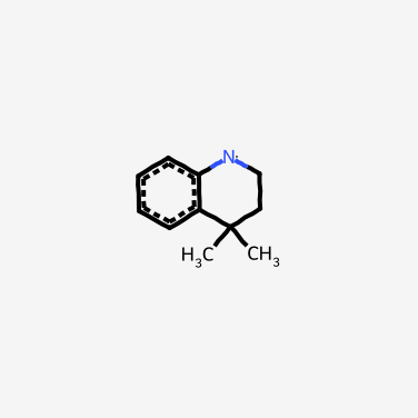 CC1(C)CC[N]c2ccccc21